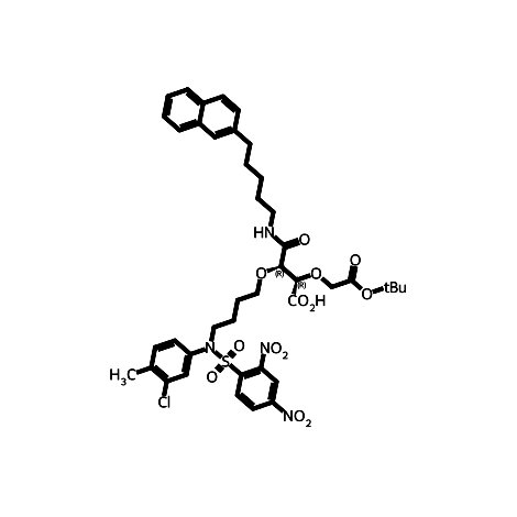 Cc1ccc(N(CCCCO[C@@H](C(=O)NCCCCCc2ccc3ccccc3c2)[C@@H](OCC(=O)OC(C)(C)C)C(=O)O)S(=O)(=O)c2ccc([N+](=O)[O-])cc2[N+](=O)[O-])cc1Cl